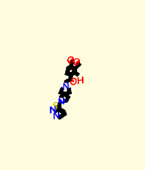 Cc1c([C@@H](O)CN2CCC3(CC2)CCN(c2snc4ncccc24)C3)ccc2c1COC2=O